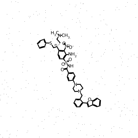 CN(C)CC[C@@H](CSc1ccccc1)c1ccc(S(=O)(=O)NC(=O)c2ccc(N3CCN(Cc4ccccc4-c4cc5ccccc5o4)CC3)cc2)c(N)c1[N+](=O)[O-]